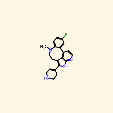 CN1CCc2c(C3=CCNCC3)[nH]c3nccc(c23)-c2cc(F)ccc21